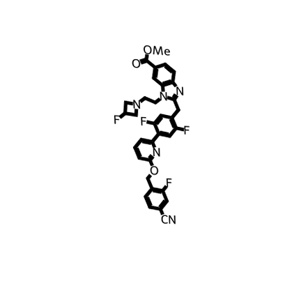 COC(=O)c1ccc2nc(Cc3cc(F)c(-c4cccc(OCc5ccc(C#N)cc5F)n4)cc3F)n(CCN3CC(F)C3)c2c1